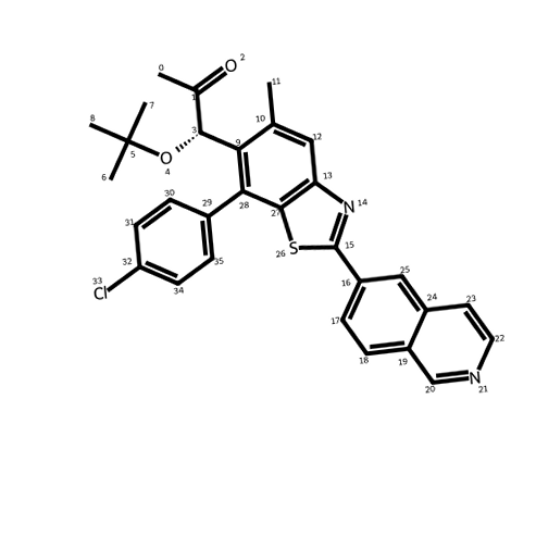 CC(=O)[C@@H](OC(C)(C)C)c1c(C)cc2nc(-c3ccc4cnccc4c3)sc2c1-c1ccc(Cl)cc1